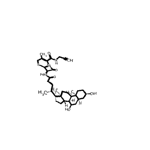 C#CCNC(=O)C1=C(C)CSC2C(NC(=O)CC[C@@H](C)[C@H]3CC[C@H]4[C@@H]5C(O)C[C@@H]6C[C@H](O)CC[C@]6(C)C5CC[C@]34C)C(=O)N12